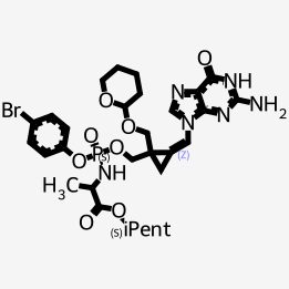 CCC[C@H](C)OC(=O)C(C)N[P@](=O)(OCC1(COC2CCCCO2)C/C1=C/n1cnc2c(=O)[nH]c(N)nc21)Oc1ccc(Br)cc1